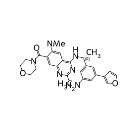 CNc1cc2c(N[C@H](C)c3cc(N)cc(-c4ccoc4)c3)nc(C)nc2cc1C(=O)N1CCOCC1